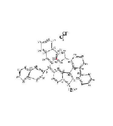 [Cl-].[Cl-].[Zr+2][C]1=c2ccc(=C(c3ccc4ccccc4c3)c3ccc4ccccc4c3)c(C3=CC=CC3)c2-c2c1c1ccccc1c1ccccc21